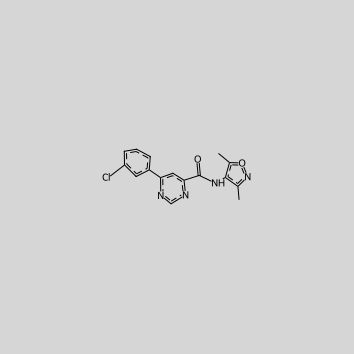 Cc1noc(C)c1NC(=O)c1cc(-c2cccc(Cl)c2)ncn1